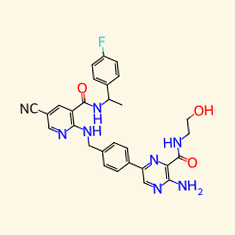 CC(NC(=O)c1cc(C#N)cnc1NCc1ccc(-c2cnc(N)c(C(=O)NCCO)n2)cc1)c1ccc(F)cc1